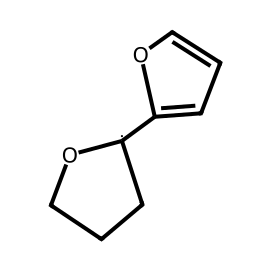 c1coc([C]2CCCO2)c1